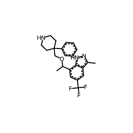 Cc1n[nH]c2c(C(C)OCC3(c4ccccc4)CCNCC3)cc(C(F)(F)F)cc12